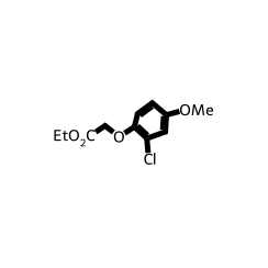 CCOC(=O)COc1ccc(OC)cc1Cl